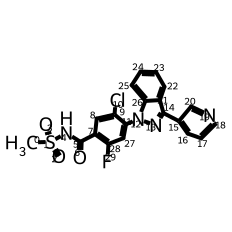 CS(=O)(=O)NC(=O)c1cc(Cl)c(-n2nc(-c3cccnc3)c3ccccc32)cc1F